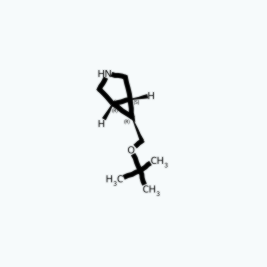 CC(C)(C)OC[C@H]1[C@@H]2CNC[C@@H]21